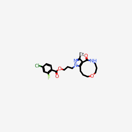 CCc1nn(CCCOC(=O)c2ccc(Cl)cc2F)c2c1C(=O)NCCCOCCC2